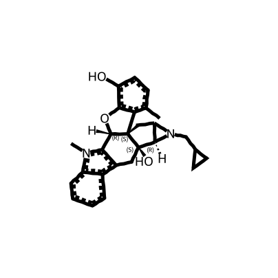 Cc1ccc(O)c2c1[C@]13CC4[C@@H](N4CC4CC4)[C@]1(O)Cc1c(n(C)c4ccccc14)[C@@H]3O2